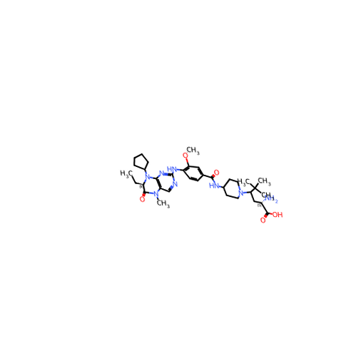 CC[C@@H]1C(=O)N(C)c2cnc(Nc3ccc(C(=O)NC4CCN(C(C[C@H](N)C(=O)O)C(C)(C)C)CC4)cc3OC)nc2N1C1CCCC1